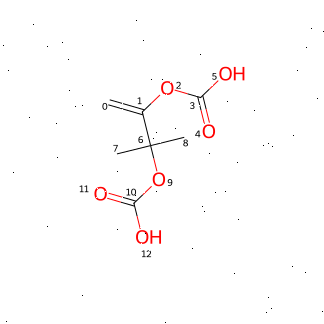 C=C(OC(=O)O)C(C)(C)OC(=O)O